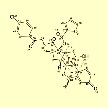 C[C@@H]1C[C@H]2[C@@H]3C[C@H](F)C4=CC(=O)C=C[C@]4(C)[C@@]3(F)[C@@H](O)C[C@]2(C)[C@@]1(OC(=O)c1ccco1)C(=O)SCC(=O)c1ccc(Cl)cc1